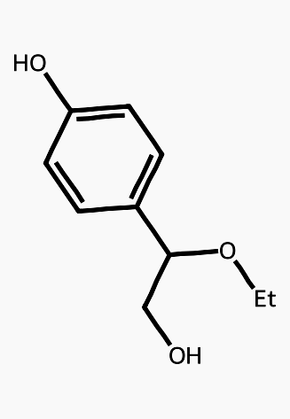 CCOC(CO)c1ccc(O)cc1